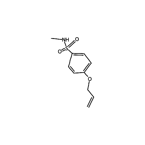 C=CCOc1ccc(S(=O)(=O)NC)cc1